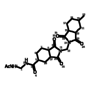 CC(=O)NCNC(=O)C1CCC2C(=O)N(CN3C(=O)C4CCC(C)CC4C3=O)C(=O)C2C1